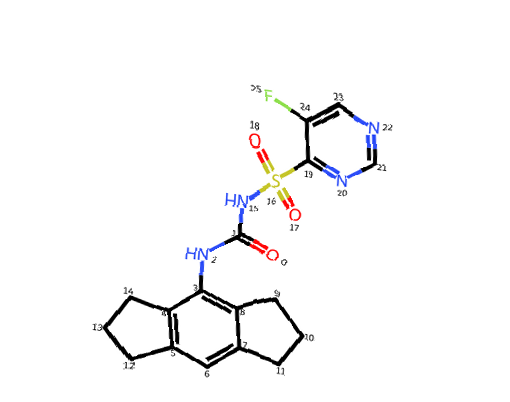 O=C(Nc1c2c(cc3c1CCC3)CCC2)NS(=O)(=O)c1ncncc1F